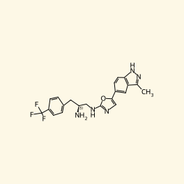 Cc1n[nH]c2ccc(-c3cnc(NC[C@@H](N)Cc4ccc(C(F)(F)F)cc4)o3)cc12